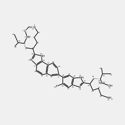 CON[C@H](CC(CCCN)c1nc2ccc3cc(-c4cc5[nH]c(C(CCCN)C[C@@H](NO)C(C)C)nc5cc4F)ccc3c2[nH]1)C(C)C